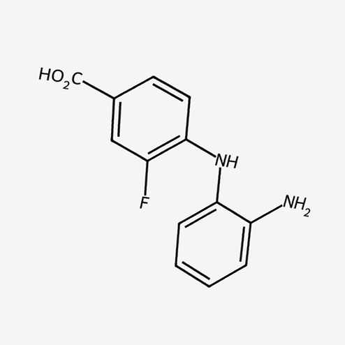 Nc1ccccc1Nc1ccc(C(=O)O)cc1F